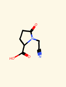 N#CCN1C(=O)CCC1C(=O)O